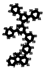 CC1(C)c2ccccc2-c2cccc(-c3ccc(-c4cccc(-c5cc(-c6cc(-c7ccccc7)cc(-c7ccccc7)c6)nc(-c6ccccc6)n5)c4)cc3)c21